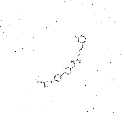 Cc1cccc(CCCCC(=O)NCc2ccc(-c3ccc(OCC(=O)O)cc3)cc2)c1